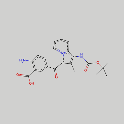 Cc1c(NC(=O)OC(C)(C)C)c2ccccn2c1C(=O)c1ccc(N)c(C(=O)O)c1